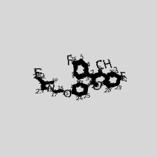 CC1=C(c2ccc(F)cc2)[C@@H](c2ccc(OCCN3CC(CF)C3)cc2)Oc2ccc(F)cc21